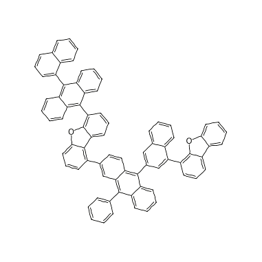 c1ccc(-c2c3ccccc3c(-c3cc(-c4cccc5c4oc4ccccc45)c4ccccc4c3)c3ccc(-c4cccc5oc6c(-c7c8ccccc8c(-c8cccc9ccccc89)c8ccccc78)cccc6c45)cc23)cc1